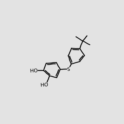 CC(C)(C)c1ccc(Sc2ccc(O)c(O)c2)cc1